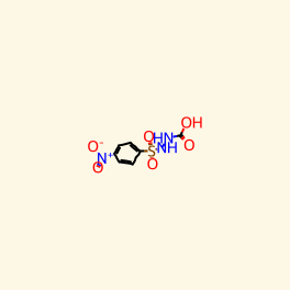 O=C(O)NNS(=O)(=O)c1ccc([N+](=O)[O-])cc1